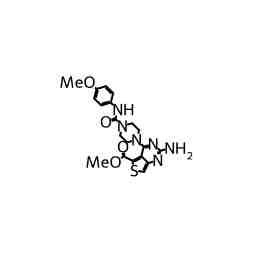 COC(=O)c1scc2nc(N)nc(N3CCN(C(=O)Nc4ccc(OC)cc4)CC3)c12